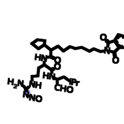 CC(C)CC(C=O)NC(=O)C(CCCN/C(N)=N\N=O)NC(=O)C(CCCCCCCCN1C(=O)c2ccccc2C1=O)C1CCCC1